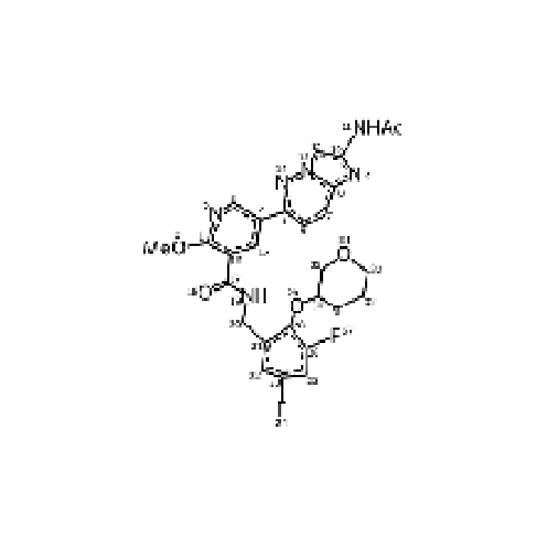 COc1ncc(-c2ccc3nc(NC(C)=O)cn3n2)cc1C(=O)NCc1cc(F)cc(F)c1OC1CCCOC1